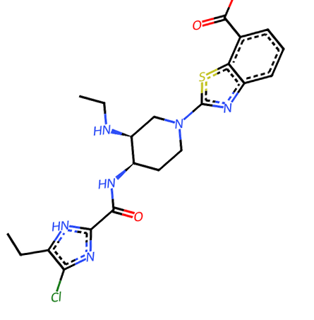 CCN[C@H]1CN(c2nc3cccc(C(=O)O)c3s2)CC[C@H]1NC(=O)c1nc(Cl)c(CC)[nH]1